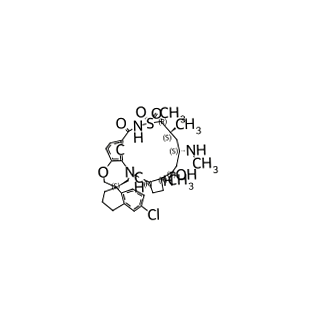 CN[C@H]1C[C@H](C)[C@@H](C)S(=O)(=O)NC(=O)c2ccc3c(c2)N(C[C@@H]2CC[C@H]2[C@@](C)(O)C1)C[C@@]1(CCCc2cc(Cl)ccc21)CO3